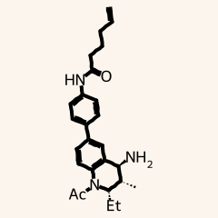 C=CCCCC(=O)Nc1ccc(-c2ccc3c(c2)[C@@H](N)[C@H](C)[C@H](CC)N3C(C)=O)cc1